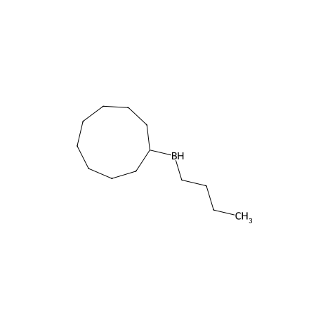 CCCCBC1CCCCCCCC1